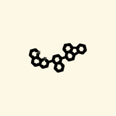 c1ccc2c(c1)-c1cccc3c(-c4ccc(-c5ccc6ccc7cccnc7c6n5)c5ccccc45)ccc-2c13